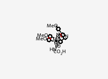 COc1ccc(CN(Cc2ccc(OC)cc2)S(=O)(=O)c2c(S(=O)(=O)CCNC(=O)O)ccc(-c3ccnc4ccccc34)c2-c2nnn(Cc3ccc(OC)cc3)n2)cc1